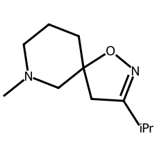 CC(C)C1=NOC2(CCCN(C)C2)C1